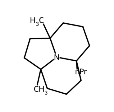 CCCC12CCCC3(C)CCC(C)(CCC1)N32